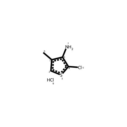 Cc1csc(Cl)c1N.Cl